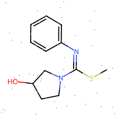 CS/C(=N/c1ccccc1)N1CCC(O)C1